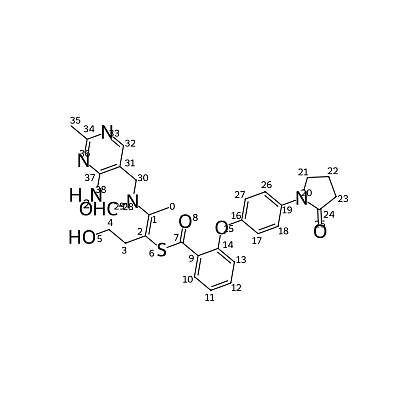 CC(=C(CCO)SC(=O)c1ccccc1Oc1ccc(N2CCCC2=O)cc1)N(C=O)Cc1cnc(C)nc1N